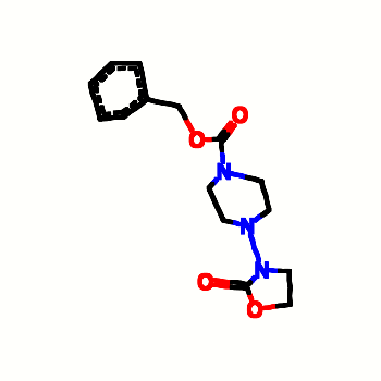 O=C(OCc1ccccc1)N1CCN(N2CCOC2=O)CC1